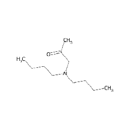 CCC[CH2][Al]([CH2]CCC)[CH2]C(C)=O